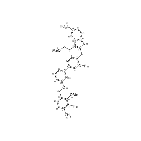 COCCn1c(Cc2ccc(-c3cccc(OCc4ccc(C)c(F)c4OC)n3)cc2F)nc2ccc(C(=O)O)cc21